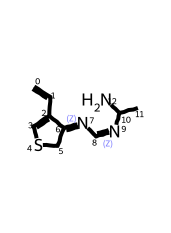 C=CC1=CSC/C1=N\C=N/C(C)N